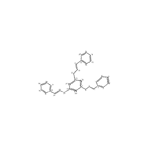 C(=Cc1ccccc1)Cc1nc(CC=Cc2ccccc2)nc(CC=Cc2ccccc2)n1